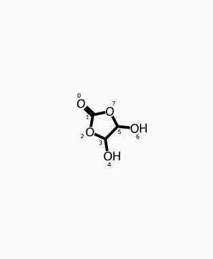 O=C1OC(O)C(O)O1